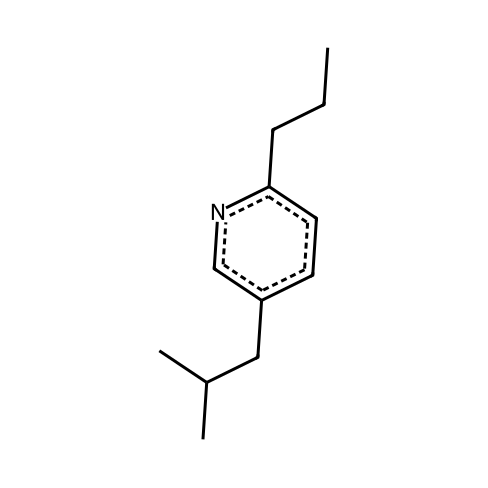 CCCc1ccc(CC(C)C)cn1